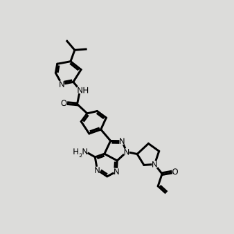 C=CC(=O)N1CCC(n2nc(-c3ccc(C(=O)Nc4cc(C(C)C)ccn4)cc3)c3c(N)ncnc32)C1